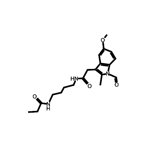 CCC(=O)NCCCCNC(=O)Cc1c(C)n(C=O)c2ccc(OC)cc12